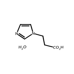 O.O=C(O)CCn1ccnc1